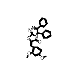 COc1ccc(/C=c2/sc3n(c2=O)C(c2ccccc2)C(c2ccccc2)=NN=3)c(OC)c1